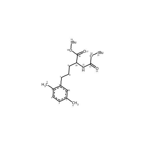 Cc1ccc(C)c(CCCC(NC(=O)OC(C)(C)C)C(=O)OC(C)(C)C)c1